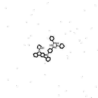 C1=CNC(n2c3ccccc3c3cc4c5ccccc5n(-c5ccc(C6N=C(c7ccccc7)NC(c7ccccc7)N6)cc5)c4cc32)C=C1